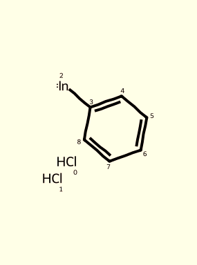 Cl.Cl.[In][c]1ccccc1